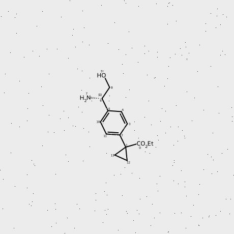 CCOC(=O)C1(c2ccc([C@H](N)CO)cc2)CC1